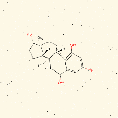 C[C@]12CC[C@@H]3c4c(O)cc(O)cc4C(O)C[C@H]3[C@@H]1CC[C@@H]2O